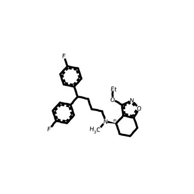 CCOc1noc2c1[C@H](N(C)CCCC(c1ccc(F)cc1)c1ccc(F)cc1)CCC2